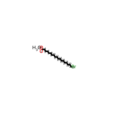 COC(=O)CCCCCCCCCCCCCCCCCCBr